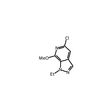 CCn1ncc2cc(Cl)nc(OC)c21